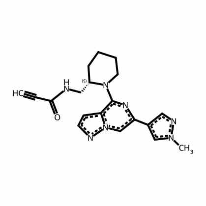 C#CC(=O)NC[C@@H]1CCCCN1c1nc(-c2cnn(C)c2)cn2nccc12